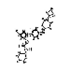 Cc1cc(OC(=O)NC2CCCCC2)n(-c2ccc(OC3CCN(C4CCC4)CC3)cc2)n1